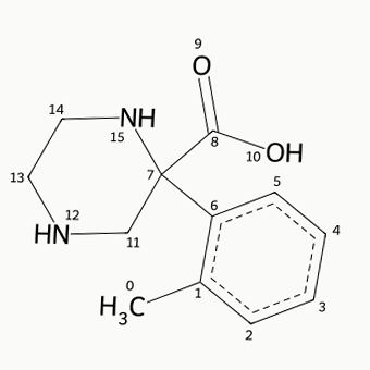 Cc1ccccc1C1(C(=O)O)CNCCN1